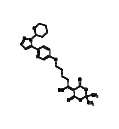 CC1(C)OC(=O)C(=C(O)CCCCOc2ccc(-c3ccnn3C3CCCCO3)nc2)C(=O)O1